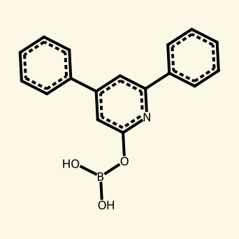 OB(O)Oc1cc(-c2ccccc2)cc(-c2ccccc2)n1